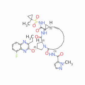 CCc1nc2cccc(F)c2nc1O[C@@H]1C[C@H]2C(=O)N[C@]3(C(=O)NS(=O)(=O)C4(C)CC4)C[C@H]3C=CCCCCC[C@H](NC(=O)c3ccnn3C)C(=O)N2C1